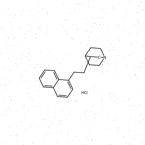 Cl.c1ccc2c(CCC3CN4CCC3CC4)cccc2c1